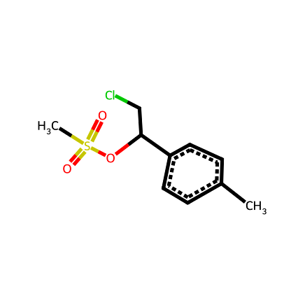 Cc1ccc(C(CCl)OS(C)(=O)=O)cc1